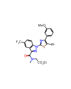 CCOC(=O)CN(C)C(=O)c1nn(-c2nc(-c3cccc(OC)c3)c(C(C)C)s2)c2ccc(C(F)(F)F)cc12